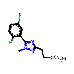 Cn1nc(CCC(=O)O)nc1-c1cc(F)ccc1F